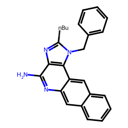 CCCCc1nc2c(N)nc3cc4ccccc4cc3c2n1Cc1ccccc1